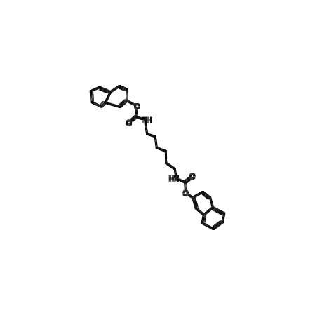 O=C(NCCCCCCNC(=O)Oc1ccc2ccccc2c1)Oc1ccc2ccccc2c1